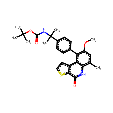 COc1cc(C)c2[nH]c(=O)c3sccc3c2c1-c1ccc(C(C)(C)NC(=O)OC(C)(C)C)cc1